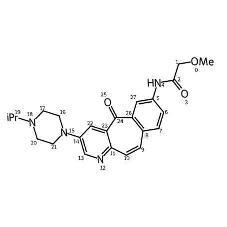 COCC(=O)Nc1ccc2ccc3ncc(N4CCN(C(C)C)CC4)cc3c(=O)c2c1